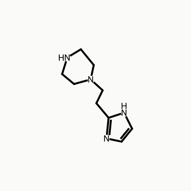 c1c[nH]c(CCN2CCNCC2)n1